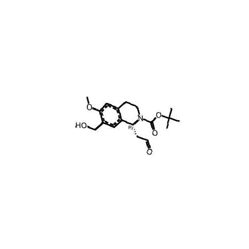 COc1cc2c(cc1CO)[C@@H](CC=O)N(C(=O)OC(C)(C)C)CC2